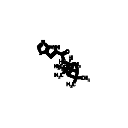 CC1(C)C2C[C@H](NC(=O)c3cc4scnc4[nH]3)C(C)(C)C1C2(C)C